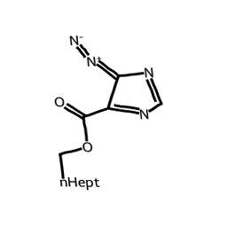 CCCCCCCCOC(=O)C1=NC=NC1=[N+]=[N-]